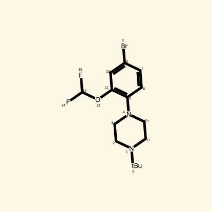 CC(C)(C)N1CCN(c2ccc(Br)cc2OC(F)F)CC1